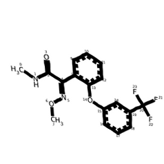 CNC(=O)C(=NOC)c1ccccc1Oc1cccc(C(F)(F)F)c1